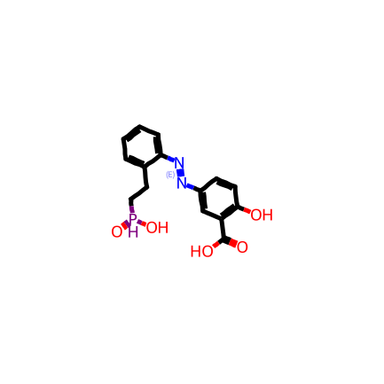 O=C(O)c1cc(/N=N/c2ccccc2CC[PH](=O)O)ccc1O